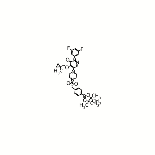 CC1(COc2c(N3CCN(S(=O)(=O)Cc4ccc(B5OC(C)(C)C(C)(C)O5)cc4)CC3)cnn(-c3cc(F)cc(F)c3)c2=O)CC1